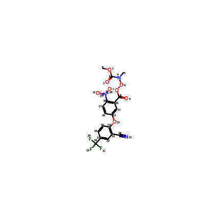 COC(=O)N(C)OOC(=O)c1cc(Oc2ccc(C(F)(F)F)cc2C#N)ccc1[N+](=O)[O-]